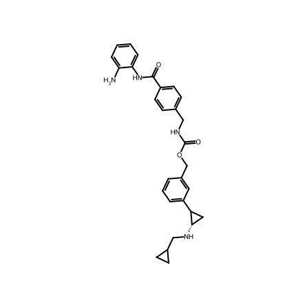 Nc1ccccc1NC(=O)c1ccc(CNC(=O)OCc2cccc(C3C[C@@H]3NCC3CC3)c2)cc1